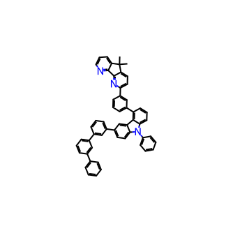 CC1(C)c2cccnc2-c2nc(-c3cccc(-c4cccc5c4c4cc(-c6cccc(-c7cccc(-c8ccccc8)c7)c6)ccc4n5-c4ccccc4)c3)ccc21